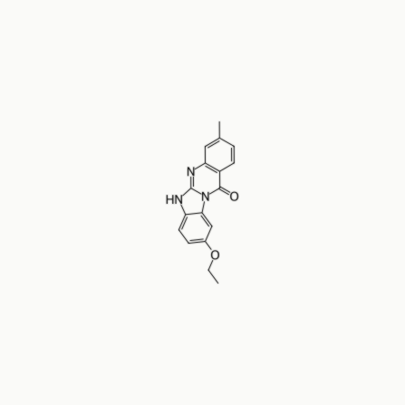 CCOc1ccc2[nH]c3nc4cc(C)ccc4c(=O)n3c2c1